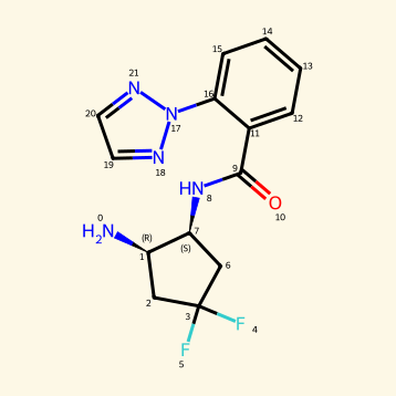 N[C@@H]1CC(F)(F)C[C@@H]1NC(=O)c1ccccc1-n1nccn1